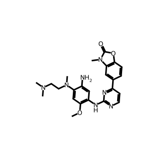 COc1cc(N(C)CCN(C)C)c(N)cc1Nc1nccc(-c2ccc3oc(=O)n(C)c3c2)n1